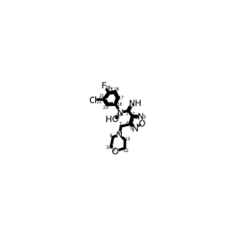 N=C(c1nonc1CN1CCOCC1)N(O)c1ccc(F)c(Cl)c1